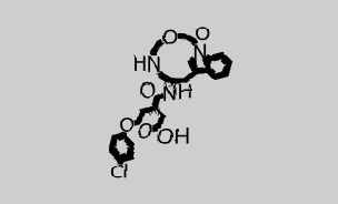 O=C(O)C[C@@H](CCOc1ccc(Cl)cc1)C(=O)N[C@@H]1CNCCOCC(=O)n2cc(c3ccccc32)C1